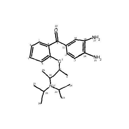 CC(Oc1ccccc1C(=O)c1ccc(N)c(N)c1)C(C)N(C(C)C)C(C)C